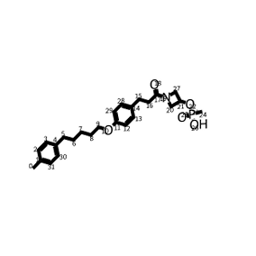 Cc1ccc(CCCCCOc2ccc(CCC(=O)N3CC(OP(C)(=O)O)C3)cc2)cc1